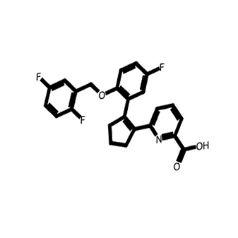 O=C(O)c1cccc(C2=C(c3cc(F)ccc3OCc3cc(F)ccc3F)CCC2)n1